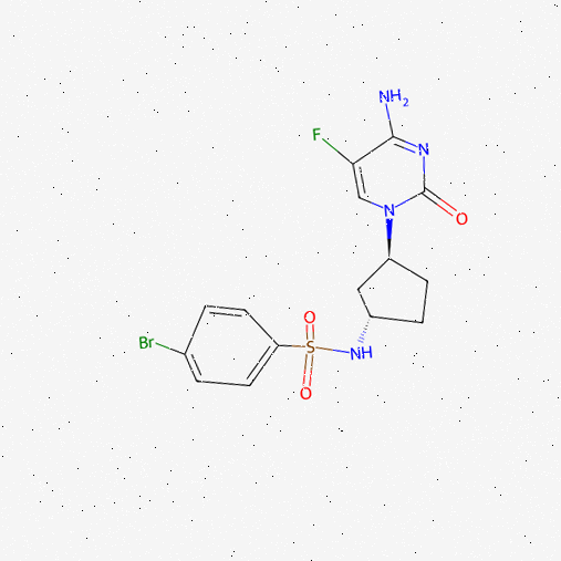 Nc1nc(=O)n([C@H]2CC[C@H](NS(=O)(=O)c3ccc(Br)cc3)C2)cc1F